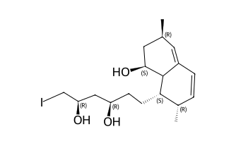 C[C@H]1C=C2C=C[C@H](C)[C@H](CC[C@@H](O)C[C@@H](O)CI)C2[C@@H](O)C1